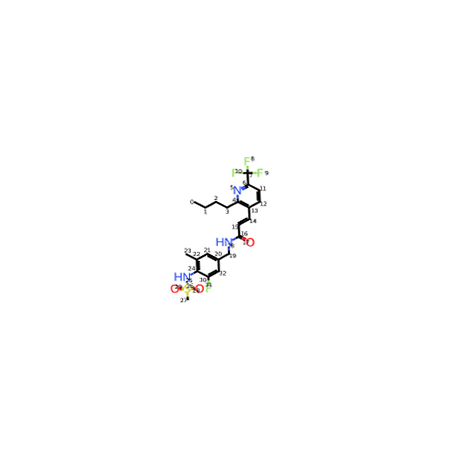 CCCCc1nc(C(F)(F)F)ccc1C=CC(=O)NCc1cc(C)c(NS(C)(=O)=O)c(F)c1